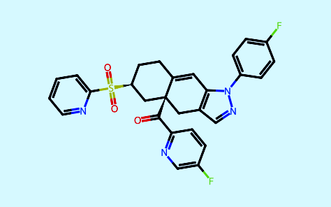 O=C(c1ccc(F)cn1)[C@]12Cc3cnn(-c4ccc(F)cc4)c3C=C1CC[C@H](S(=O)(=O)c1ccccn1)C2